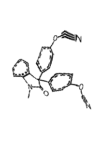 CN1C(=O)C(c2ccc(OC#N)cc2)(c2ccc(OC#N)cc2)c2ccccc21